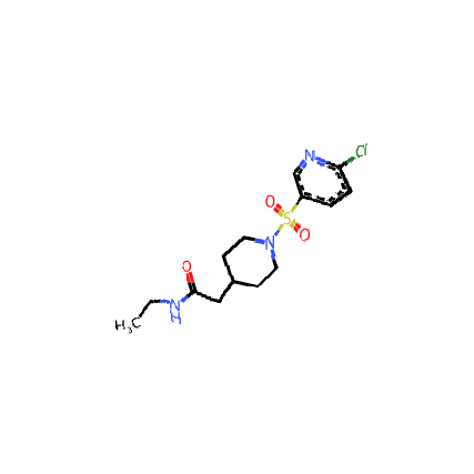 CCNC(=O)CC1CCN(S(=O)(=O)c2ccc(Cl)nc2)CC1